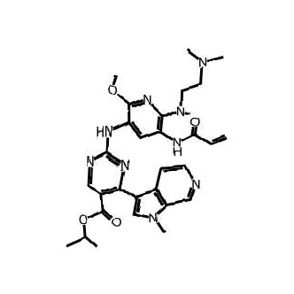 C=CC(=O)Nc1cc(Nc2ncc(C(=O)OC(C)C)c(-c3cn(C)c4cnccc34)n2)c(OC)nc1N(C)CCN(C)C